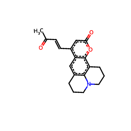 CC(=O)/C=C/c1cc(=O)oc2c3c4c(cc12)CCCN4CCC3